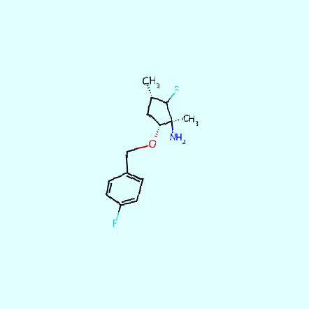 C[C@H]1C[C@@H](OCc2ccc(F)cc2)[C@](C)(N)C1F